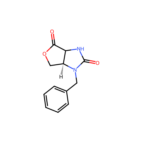 O=C1OC[C@H]2C1NC(=O)N2Cc1ccccc1